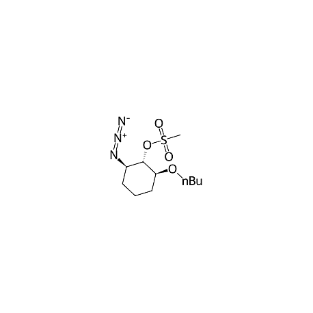 CCCCO[C@H]1CCC[C@@H](N=[N+]=[N-])[C@@H]1OS(C)(=O)=O